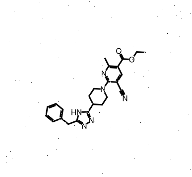 CCOC(=O)c1cc(C#N)c(N2CCC(c3nnc(Cc4ccccc4)[nH]3)CC2)nc1C